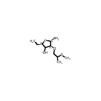 B[C@@H]1O[C@H](CC)C(O)[C@@H]1OCC(C)OC